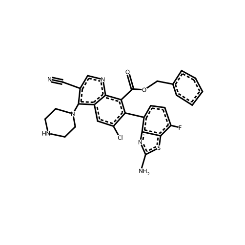 N#Cc1cnc2c(C(=O)OCc3ccccc3)c(-c3ccc(F)c4sc(N)nc34)c(Cl)cc2c1N1CCNCC1